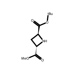 COC(=O)[C@@H]1C[C@@H](C(=O)OC(C)(C)C)N1